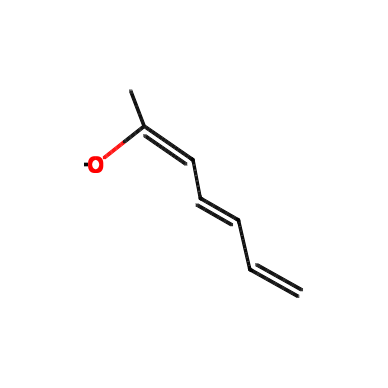 C=CC=CC=C(C)[O]